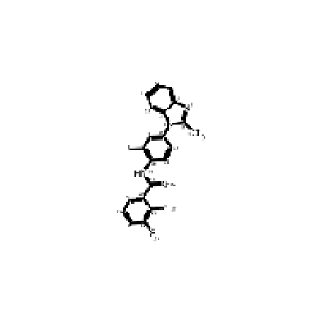 Cc1cc(-n2c(C(F)(F)F)nc3ccccc32)ccc1NC(=O)c1cccc(F)c1F